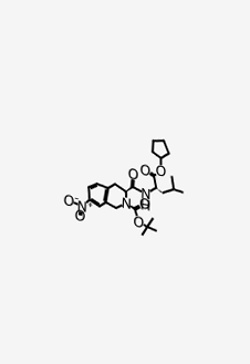 CC(C)C[C@H](NC(=O)[C@@H]1Cc2ccc([N+](=O)[O-])cc2CN1C(=O)OC(C)(C)C)C(=O)OC1CCCC1